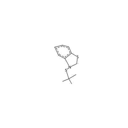 CC(C)(C)SN1[CH]Sc2ccccc21